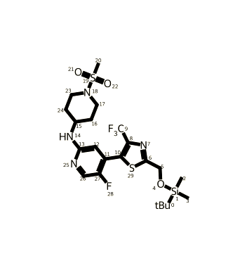 CC(C)(C)[Si](C)(C)OCc1nc(C(F)(F)F)c(-c2cc(NC3CCN(S(C)(=O)=O)CC3)ncc2F)s1